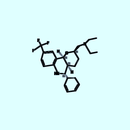 CCN(CC)C[C@H]1CC[C@@H]2[C@H](O1)c1cc(C(F)(F)F)ccc1N[C@H]2C1C=CC=CC1